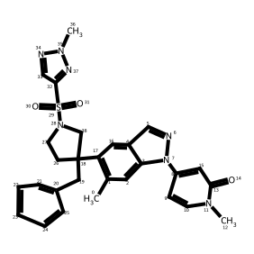 Cc1cc2c(cnn2-c2ccn(C)c(=O)c2)cc1C1(Cc2ccccc2)CCN(S(=O)(=O)c2cnn(C)n2)C1